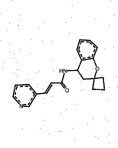 O=C(C=Cc1cccnc1)NC1CC2(CCC2)Oc2ccccc21